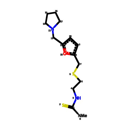 CNC(=S)NCCSCc1ccc(CN2CCCC2)o1